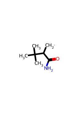 [CH2]C(C(N)=O)C(C)(C)C